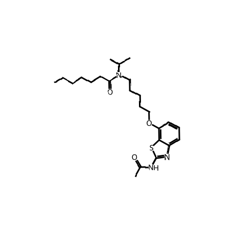 CCCCCCC(=O)N(CCCCCOc1cccc2nc(NC(C)=O)sc12)C(C)C